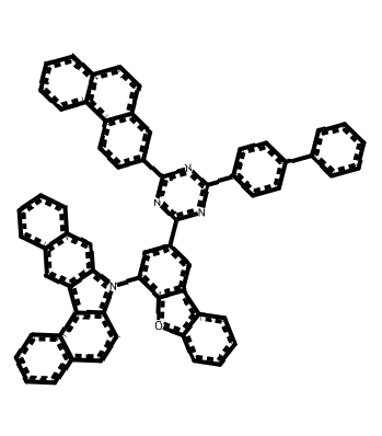 c1ccc(-c2ccc(-c3nc(-c4ccc5c(ccc6ccccc65)c4)nc(-c4cc(-n5c6cc7ccccc7cc6c6c7ccccc7ccc65)c5oc6ccccc6c5c4)n3)cc2)cc1